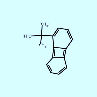 CC(C)(C)c1cccc2c1=c1ccccc1=2